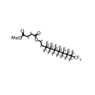 COC(=O)CCC(=O)OCCC(F)(F)C(F)(F)C(F)(F)C(F)(F)C(F)(F)C(F)(F)C(F)(F)C(F)(F)F